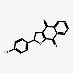 O=C1C2=C(OC(c3ccc(C(F)(F)F)cc3)C2)C(=O)c2ccccc21